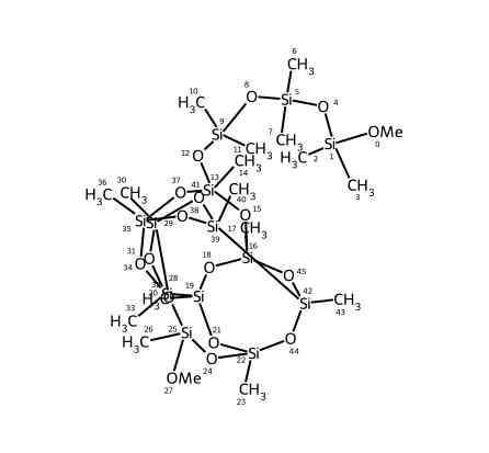 CO[Si](C)(C)O[Si](C)(C)O[Si](C)(C)O[Si]1(C)O[Si]2(C)O[Si]3(C)O[Si]4(C)O[Si](C)(OC)O[Si]5(C)O[Si]3(C)O[Si](C)(O1)O[Si](C)(O5)[Si](C)(O4)O2